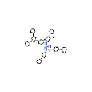 CC1(C)c2ccccc2-c2cc3c4cc(-c5cc(-c6ccccc6)cc(-c6ccccc6)c5)ccc4n(-c4nc(-c5ccc(-c6ccccc6)cc5)nc(-c5ccc(-c6ccccc6)cc5)n4)c3cc21